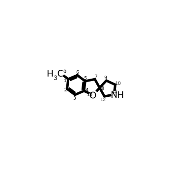 Cc1ccc2c(c1)CC1(CCNC1)O2